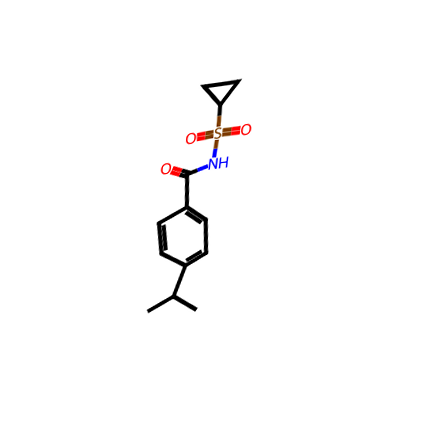 CC(C)c1ccc(C(=O)NS(=O)(=O)C2CC2)cc1